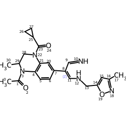 CC(=O)N1c2ccc(/C(C=N)=C/NCc3cc(C)no3)cc2N(C(=O)C2CC2)CC1C